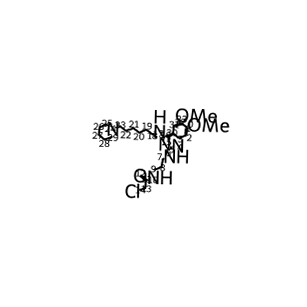 COc1cc2nc(NCCCNC(=O)CCl)nc(NCCCCCCN3CCCCC3)c2cc1OC